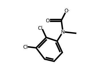 CN(C([O])=O)c1cccc(Cl)c1Cl